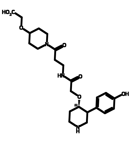 O=C(O)COC1CCN(C(=O)CCNC(=O)CO[C@H]2CCNCC2c2ccc(O)cc2)CC1